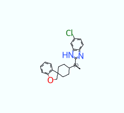 C[C@H](c1nc2ccc(Cl)cc2[nH]1)C1CCC2(CC1)COc1ccccc12